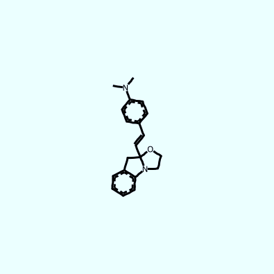 CN(C)c1ccc(C=CC23Cc4ccccc4N2CCO3)cc1